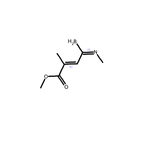 BC(/C=C(\C)C(=O)OC)=N/C